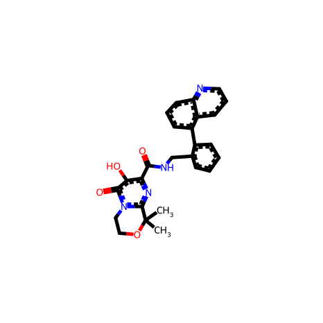 CC1(C)OCCn2c1nc(C(=O)NCc1ccccc1-c1cccc3ncccc13)c(O)c2=O